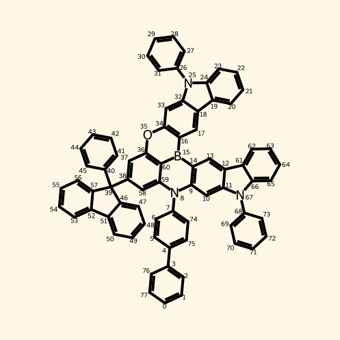 c1ccc(-c2ccc(N3c4cc5c(cc4B4c6cc7c8ccccc8n(-c8ccccc8)c7cc6Oc6cc(C7(c8ccccc8)c8ccccc8-c8ccccc87)cc3c64)c3ccccc3n5-c3ccccc3)cc2)cc1